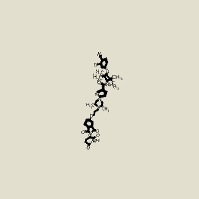 C[C@@H]1CN(c2ccc(C(=O)NC3C(C)(C)C(Oc4ccc(C#N)c(Cl)c4)C3(C)C)cn2)C[C@H](C)N1CCCOc1ccc2c(c1)C(=O)N(C1CCC(=O)NC1=O)C2=O